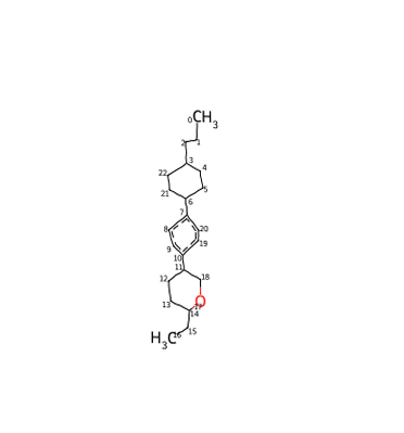 CCCC1CCC(c2ccc(C3CCC(CC)OC3)cc2)CC1